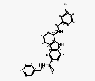 O=C(NCc1ccncc1)c1ccc2[nH]c3c(c2c1)CCCC3NCc1cccc(F)c1